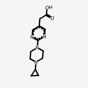 O=C(O)Cc1cnc(N2CCN(C3CC3)CC2)nc1